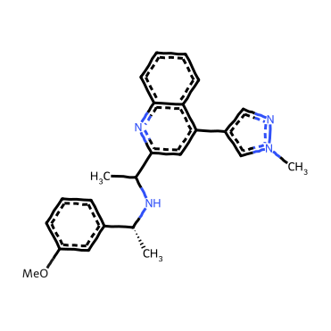 COc1cccc([C@@H](C)NC(C)c2cc(-c3cnn(C)c3)c3ccccc3n2)c1